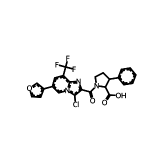 O=C(O)C1C(c2ccccc2)CCN1C(=O)c1nc2c(C(F)(F)F)cc(-c3ccoc3)cn2c1Cl